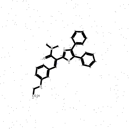 CN(C)C(=O)/C(=C\c1cccc(OCC(=O)O)c1)c1nc(-c2ccccc2)c(-c2ccccc2)o1